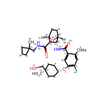 COc1cc(F)c(O[C@H]2CC[C@@](CO)(C(=O)O)CC2)cc1C(=O)N[C@@H]1C(C(=O)NCC2(C)CCC2)[C@@H]2CC[C@H]1O2